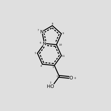 O=C(O)c1ccn2nccc2c1